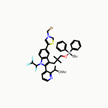 COC(C)c1ncccc1-c1c(CC(C)(C)CO[Si](c2ccccc2)(c2ccccc2)C(C)(C)C)c2cc(C3=CN(CBr)CS3)ccc2n1C(F)C(F)F